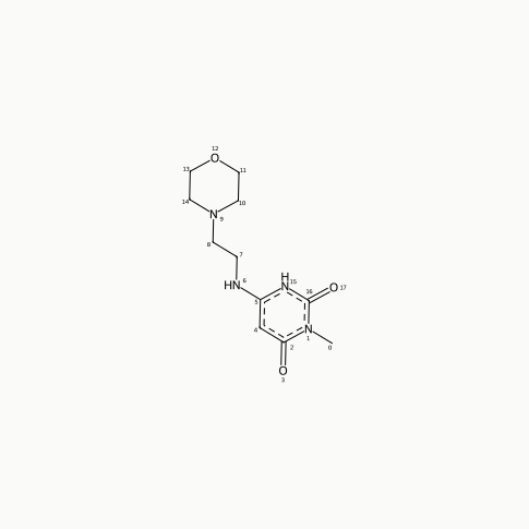 Cn1c(=O)cc(NCCN2CCOCC2)[nH]c1=O